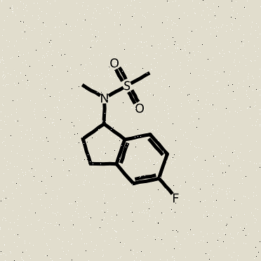 CN(C1CCc2cc(F)ccc21)S(C)(=O)=O